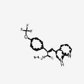 NC(=O)C(=Cc1c[nH]c2ncccc12)c1ccc(OC(F)(F)F)cc1